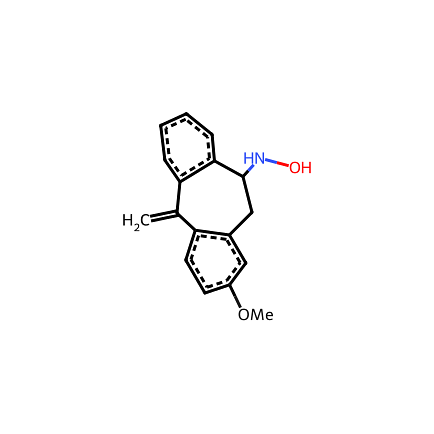 C=C1c2ccc(OC)cc2CC(NO)c2ccccc21